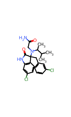 CC(C)C(C)N(CC(N)=O)C1(Cc2cccc(Cl)c2)C(=O)Nc2cc(Cl)ccc21